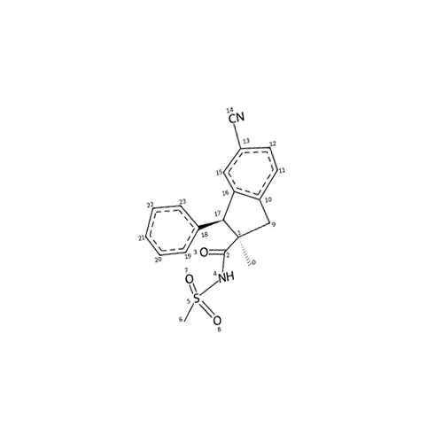 C[C@@]1(C(=O)NS(C)(=O)=O)Cc2ccc(C#N)cc2[C@@H]1c1ccccc1